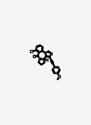 COc1ccc(C#Cc2ncn3c2[C@@H]2CCCN2C(=O)c2c(Cl)cccc2-3)cc1